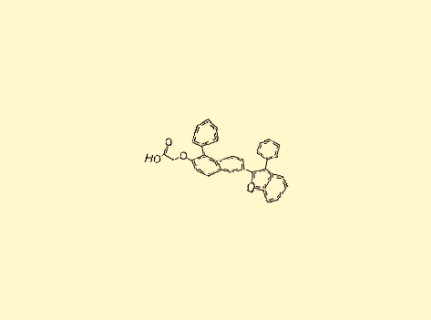 O=C(O)COc1ccc2cc(-c3oc4ccccc4c3-c3ccccc3)ccc2c1-c1ccccc1